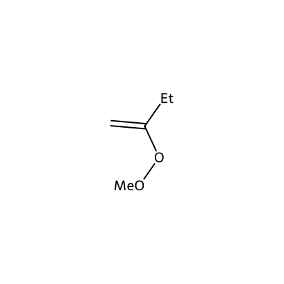 C=C(CC)OOC